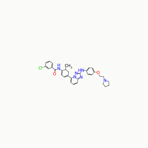 CC1CC(c2cccc3nc(Nc4ccc(OCCN5CCCC5)cc4)nn23)=CC=C1NC(=O)c1cccc(Cl)c1